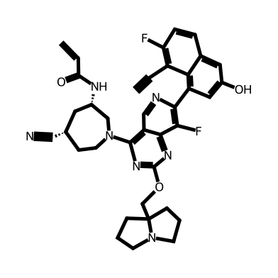 C#Cc1c(F)ccc2cc(O)cc(-c3ncc4c(N5CC[C@H](C#N)C[C@H](NC(=O)C=C)C5)nc(OCC56CCCN5CCC6)nc4c3F)c12